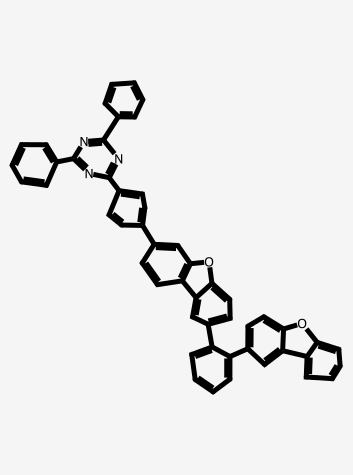 c1ccc(-c2nc(-c3ccccc3)nc(-c3ccc(-c4ccc5c(c4)oc4ccc(-c6ccccc6-c6ccc7oc8ccccc8c7c6)cc45)cc3)n2)cc1